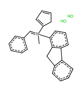 Cl.Cl.[CH3][Ti](=[CH]c1ccccc1)([C]1=CC=CC1)[c]1cccc2c1Cc1ccccc1-2